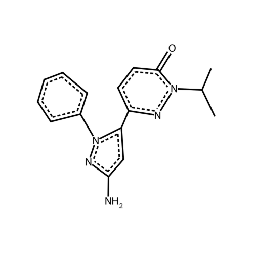 CC(C)n1nc(-c2cc(N)nn2-c2ccccc2)ccc1=O